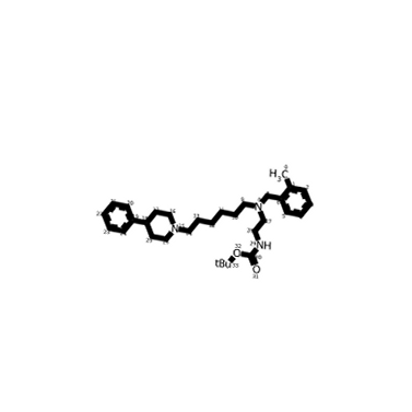 Cc1ccccc1CN(CCCCCCN1CCC(c2ccccc2)CC1)CCNC(=O)OC(C)(C)C